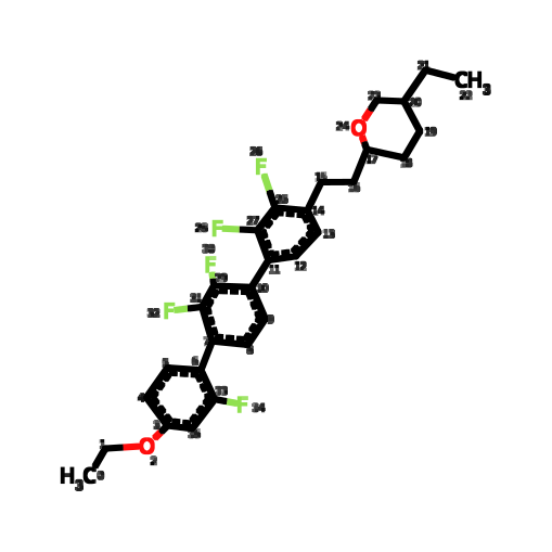 CCOc1ccc(-c2ccc(-c3ccc(CCC4CCC(CC)CO4)c(F)c3F)c(F)c2F)c(F)c1